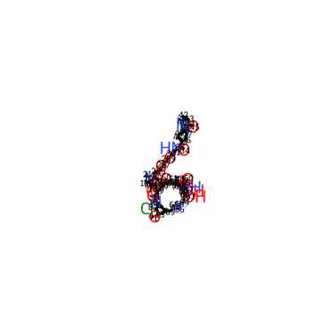 COc1cc2cc(c1Cl)N(C)C(=O)C[C@H](OC(=O)[C@H](C)N(C)C(=O)CCOCCOCCNC(=O)c1ccc(N3N=C(C)CC3=O)cc1)[C@]1(C)OC1[C@H](C)[C@@H]1C[C@@](O)(NC(=O)O1)[C@H](O)/C=C/C=C(\C)C2